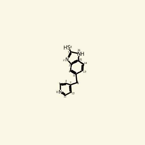 Sc1nc2cc(Cc3ccncc3)ccc2[nH]1